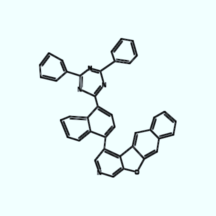 c1ccc(-c2nc(-c3ccccc3)nc(-c3ccc(-c4cncc5oc6cc7ccccc7cc6c45)c4ccccc34)n2)cc1